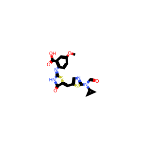 COc1ccc(/N=C2/NC(=O)/C(=C/c3cnc(N(C=O)C4CC4)s3)S2)c(C(=O)O)c1